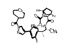 C[C@H](c1ccc(-c2cnn(C(=O)C3CCOCC3)c2)cc1F)[C@@H](C#N)NC(=O)[C@@H]1[C@H]2CC[C@H](C2)N1C(=O)OC(C)(C)C